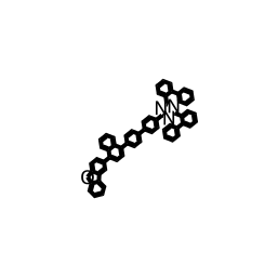 c1ccc(-c2ccccc2-c2nc(-c3ccc(-c4ccc(-c5ccc(-c6ccc7oc8ccccc8c7c6)c6ccccc56)cc4)cc3)nc(-c3ccccc3-c3ccccc3)n2)cc1